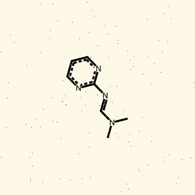 CN(C)/C=N/c1ncccn1